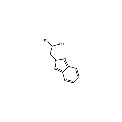 OC(O)Cn1nc2ccccc2n1